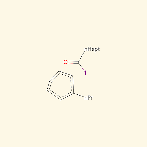 CCCCCCCC(=O)I.CCCc1ccccc1